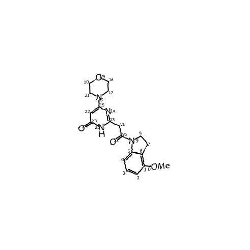 COc1cccc2c1CCN2C(=O)Cc1nc(N2CCOCC2)cc(=O)[nH]1